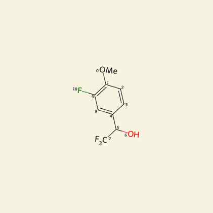 COc1ccc(C(O)C(F)(F)F)cc1F